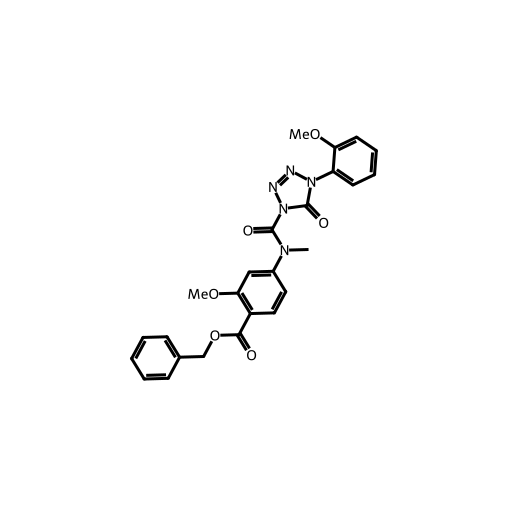 COc1cc(N(C)C(=O)n2nnn(-c3ccccc3OC)c2=O)ccc1C(=O)OCc1ccccc1